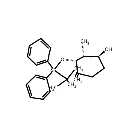 C=C1CC[C@H](O)[C@@H](C)[C@H]1O[Si](c1ccccc1)(c1ccccc1)C(C)(C)C